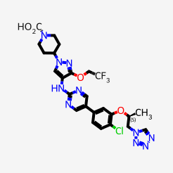 C[C@@H](Cn1cnnn1)Oc1cc(-c2cnc(Nc3cn(C4CCN(C(=O)O)CC4)nc3OCC(F)(F)F)nc2)ccc1Cl